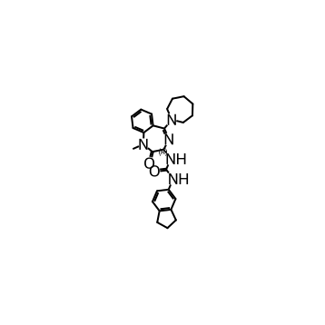 CN1C(=O)[C@H](NC(=O)Nc2ccc3c(c2)CCC3)N=C(N2CCCCCC2)c2ccccc21